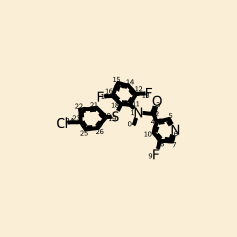 CN(C(=O)c1cncc(F)c1)c1c(F)ccc(F)c1Sc1ccc(Cl)cc1